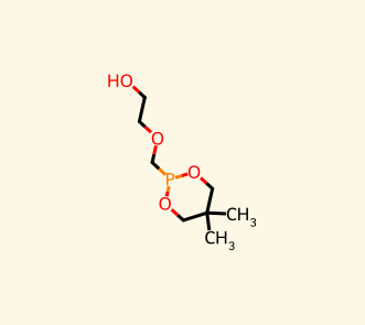 CC1(C)COP(COCCO)OC1